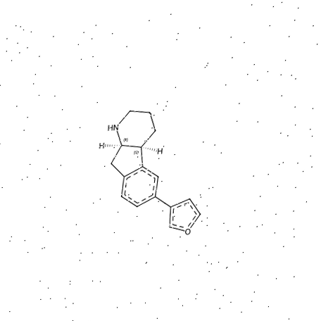 c1cc(-c2ccc3c(c2)[C@@H]2CCCN[C@@H]2C3)co1